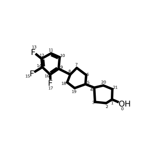 OC1CCC(C2CCC(c3ccc(F)c(F)c3F)CC2)CC1